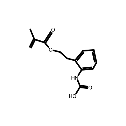 C=C(C)C(=O)OCCc1ccccc1NC(=O)O